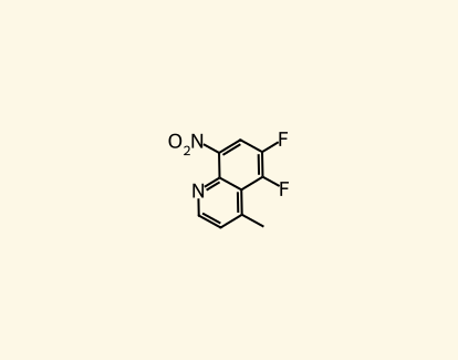 Cc1ccnc2c([N+](=O)[O-])cc(F)c(F)c12